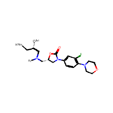 CC(=O)NC[C@@H](CN(C[C@H]1CN(c2ccc(N3CCOCC3)c(F)c2)C(=O)O1)C(C)=O)OC(C)=O